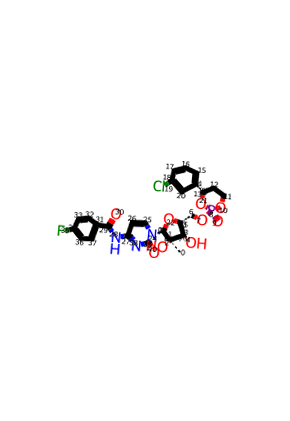 C[C@@]1(O)[C@H](O)[C@@H](COP2(=O)OCC[C@@H](c3cccc(Cl)c3)O2)O[C@H]1n1ccc(NC(=O)c2ccc(F)cc2)nc1=O